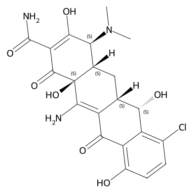 CN(C)[C@@H]1C(O)=C(C(N)=O)C(=O)[C@@]2(O)C(N)=C3C(=O)c4c(O)ccc(Cl)c4[C@@H](O)[C@H]3C[C@@H]12